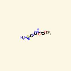 Nc1nnc(C2CCN(c3ccc(NC(=O)Cc4cccc(OC(F)(F)F)c4)nc3)CC2)s1